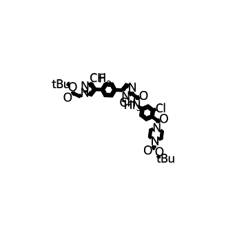 Cc1nn(CC(=O)OC(C)(C)C)cc1-c1ccc(-c2cnc(C(=O)Nc3ccc(C(=O)N4CCN(C(=O)OC(C)(C)C)CC4)c(Cl)c3)n2C)cc1F